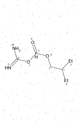 CCC(CC)CO[PH](=O)OC(=N)N